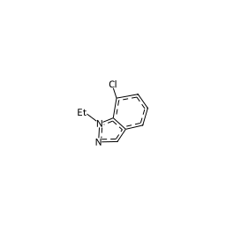 CCn1ncc2cccc(Cl)c21